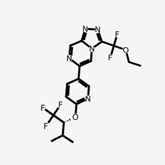 CCOC(F)(F)c1nnc2cnc(-c3ccc(O[C@H](C(C)C)C(F)(F)F)nc3)cn12